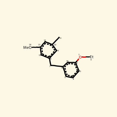 CCOc1cccc(Cc2cc(C)cc(OC)c2)c1